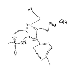 Cc1ccc(-c2c(CN)c(CC(C)C)nc(C)c2NS(C)(=O)=O)cc1.Cl.Cl